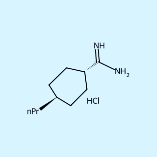 CCC[C@H]1CC[C@H](C(=N)N)CC1.Cl